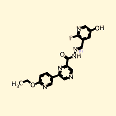 CCOc1ccc(-c2cncc(C(=O)N/N=C/c3cc(O)cnc3F)n2)cn1